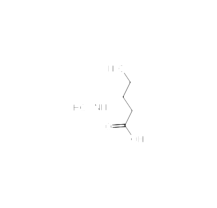 CCCCC(=O)O.Cl.N